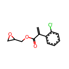 C=C(C(=O)OCC1CO1)c1ccccc1Cl